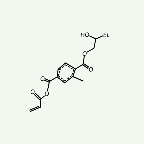 C=CC(=O)OC(=O)c1ccc(C(=O)OCC(O)CC)c(C)c1